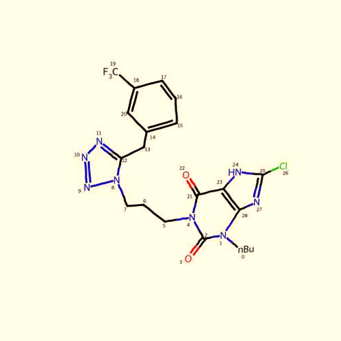 CCCCn1c(=O)n(CCCn2nnnc2Cc2cccc(C(F)(F)F)c2)c(=O)c2[nH]c(Cl)nc21